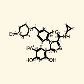 CCN1CCN(Cc2ccc(-n3c(C(=O)NC4CC4)nnc3-c3cc(C(C)C)c(O)cc3O)c(F)c2)CC1